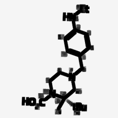 CCNc1ccc(CN2CCN(C(=O)O)[C@@](C)(C(C)(C)C)C2)cc1